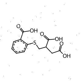 O=C(O)CC(CSc1ccccc1C(=O)O)C(=O)O